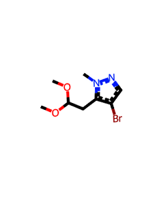 COC(Cc1c(Br)cnn1C)OC